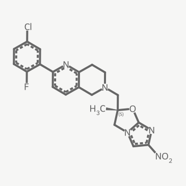 C[C@]1(CN2CCc3nc(-c4cc(Cl)ccc4F)ccc3C2)Cn2cc([N+](=O)[O-])nc2O1